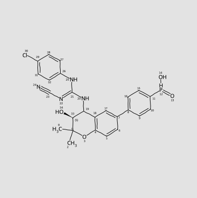 CC1(C)Oc2ccc(-c3ccc([PH](=O)O)cc3)cc2C(NC(=NC#N)Nc2ccc(Cl)cc2)[C@@H]1O